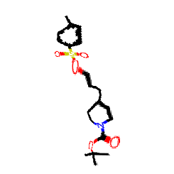 Cc1ccc(S(=O)(=O)OCCCC2CCN(C(=O)OC(C)(C)C)CC2)cc1